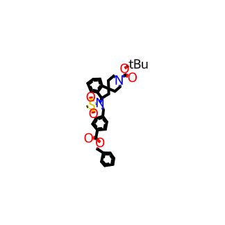 CC(C)(C)OC(=O)N1CCC2(CC1)CC(N(Cc1ccc(C(=O)OCc3ccccc3)cc1)S(C)(=O)=O)c1ccccc12